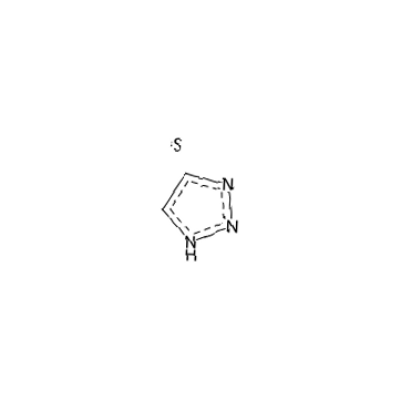 [S].c1c[nH]nn1